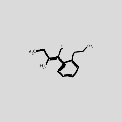 CCCc1ccccc1/C(Cl)=C(\C)CC